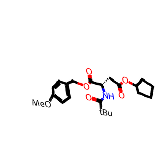 COc1ccc(COC(=O)[C@H](CC(=O)OC2CCCC2)NC(=O)C(C)(C)C)cc1